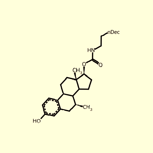 CCCCCCCCCCCCNC(=O)O[C@H]1CCC2C3C(CC[C@@]21C)c1ccc(O)cc1C[C@@H]3C